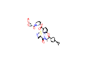 CC(NC(=O)c1cncs1)C(Oc1ccc(C(=O)O[C@H]2CCCN(C(=O)[C@H]3COC(=O)C3)C2)cc1)c1ccc(C2CC2)cc1